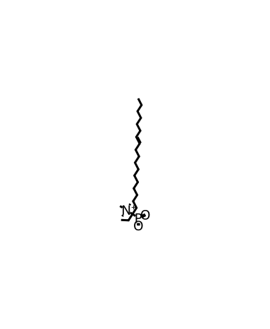 CCCCCCC=CCCCCCCCCCCC(CC)(P(=O)=O)[N+](C)(C)C